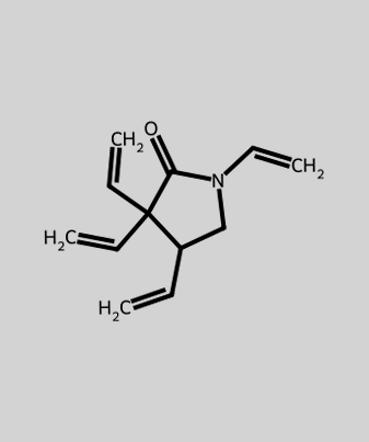 C=CC1CN(C=C)C(=O)C1(C=C)C=C